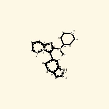 CCN(c1nc2cccnn2c1-c1ccc2cn[nH]c2c1)C1CCOCC1